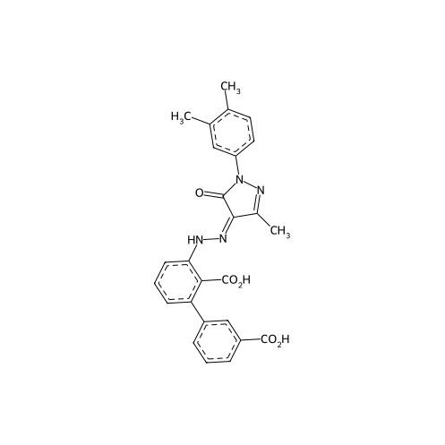 CC1=NN(c2ccc(C)c(C)c2)C(=O)C1=NNc1cccc(-c2cccc(C(=O)O)c2)c1C(=O)O